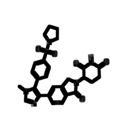 Cn1cnc(-c2ccc3c(c2)CN(C2CCC(=O)NC2=O)C3=O)c1-c1ccc(S(=O)(=O)N2CCCC2)cc1